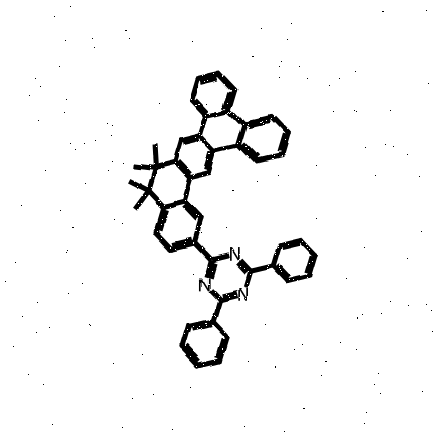 CC1(C)c2ccc(-c3nc(-c4ccccc4)nc(-c4ccccc4)n3)cc2-c2cc3c4ccccc4c4ccccc4c3cc2C1(C)C